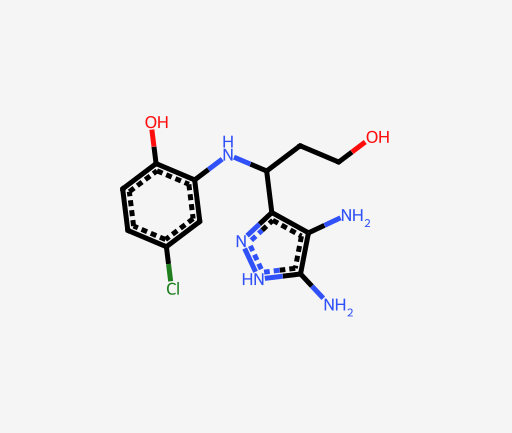 Nc1[nH]nc(C(CCO)Nc2cc(Cl)ccc2O)c1N